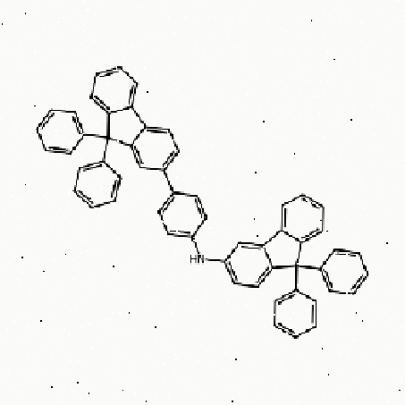 c1ccc(C2(c3ccccc3)c3ccccc3-c3cc(Nc4ccc(-c5ccc6c(c5)C(c5ccccc5)(c5ccccc5)c5ccccc5-6)cc4)ccc32)cc1